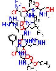 CCOC(=O)[C@H](C)NC(=O)CNC(=O)[C@H](Cc1ccccc1)NC(=O)[C@H](Cc1c[nH]cn1)NC(=O)[C@H](CCCNC(=N)N)NC(=O)[C@H](CC(C)C)NC(=O)[C@H](CCC(N)=O)NC(=O)[C@H](C)NC(=O)[C@@H](N)CO